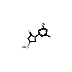 N#Cc1cc(F)cc(N2C[C@@H](C(=O)O)CC2=O)c1